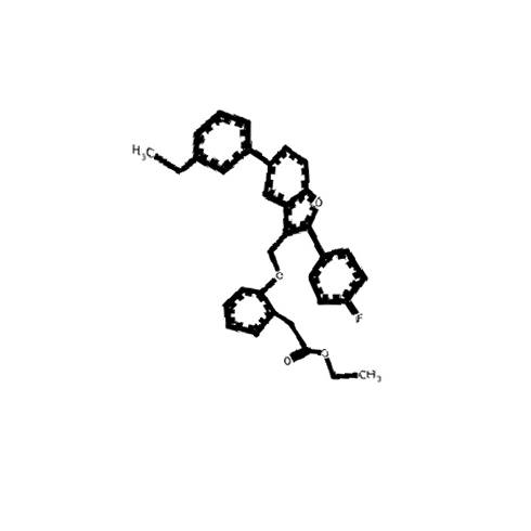 CCOC(=O)Cc1ccccc1OCc1c(-c2ccc(F)cc2)oc2ccc(-c3cccc(CC)c3)cc12